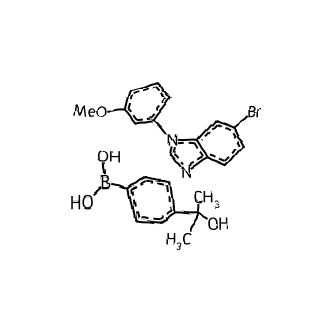 CC(C)(O)c1ccc(B(O)O)cc1.COc1cccc(-n2cnc3ccc(Br)cc32)c1